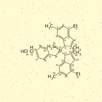 CCc1cc(C)cc2c1C=C(C)[CH]2[Zr](=[SiH2])([CH2]c1ccccc1)[CH]1C(C)=Cc2c(CC)cc(C)cc21.Cl.Cl